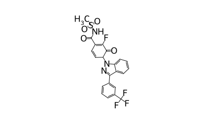 CS(=O)(=O)NC(=O)C1=C(F)C(=O)C(n2nc(-c3cccc(C(F)(F)F)c3)c3ccccc32)C=C1